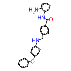 Nc1ccccc1NC(=O)c1ccc(CNc2ccc(Oc3ccccc3)cc2)cc1